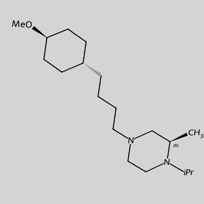 CO[C@H]1CC[C@H](CCCCN2CCN(C(C)C)[C@H](C)C2)CC1